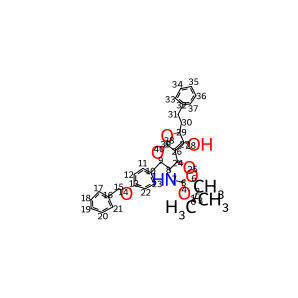 CC(C)(C)OC(=O)NC(Cc1ccc(OCc2ccccc2)cc1)C(=O)C1=C(O)C(CCc2ccccc2)OC1=O